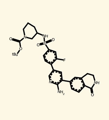 CC(C)(C)OC(=O)N1CCCC(NS(=O)(=O)c2ccc(-c3cnc(N)c(-c4ccc5c(c4)CCNC5=O)c3)c(F)c2)C1